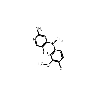 COc1cc(N(C)c2nc(N)ncc2C)ccc1Cl